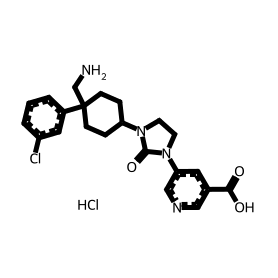 Cl.NCC1(c2cccc(Cl)c2)CCC(N2CCN(c3cncc(C(=O)O)c3)C2=O)CC1